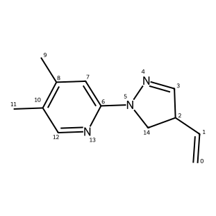 C=CC1C=NN(c2cc(C)c(C)cn2)C1